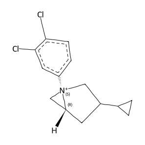 Clc1ccc([N@+]23CC(C4CC4)C[C@@H]2C3)cc1Cl